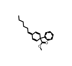 CCCCCC=C1C=CC(C(=O)OC)(c2ccccc2)C=C1